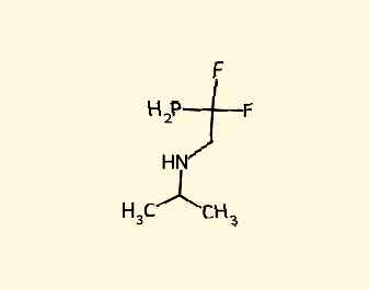 CC(C)NCC(F)(F)P